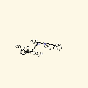 CC(C)=CCC/C(C)=C/CC/C(C)=C/CSCC(NC(=O)N1CCCCC1C(=O)O)C(=O)O